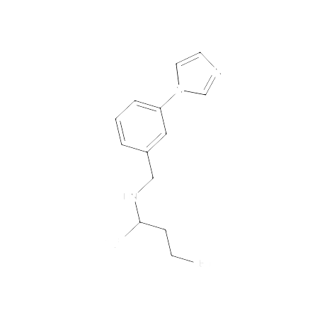 CC(C)(C)CCC(NCc1cccc(-n2ccnc2)c1)C(=O)O